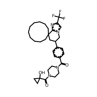 O=C(c1ccc(C2Cn3cc(C(F)(F)F)nc3C3(CCCCCCCCCC3)C2)cc1)N1CCN(C(=O)C2(O)CC2)CC1